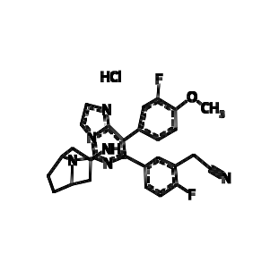 COc1ccc(-c2c(-c3ccc(F)c(CC#N)c3)nc(N3C4CCC3CC(N)C4)n3ccnc23)cc1F.Cl